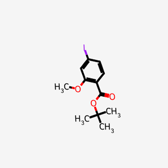 COc1cc(I)ccc1C(=O)OC(C)(C)C